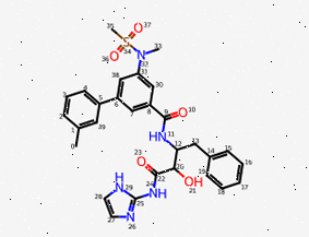 Cc1cccc(-c2cc(C(=O)NC(Cc3ccccc3)C(O)C(=O)Nc3ncc[nH]3)cc(N(C)S(C)(=O)=O)c2)c1